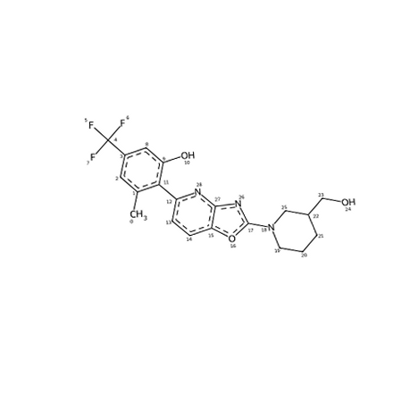 Cc1cc(C(F)(F)F)cc(O)c1-c1ccc2oc(N3CCCC(CO)C3)nc2n1